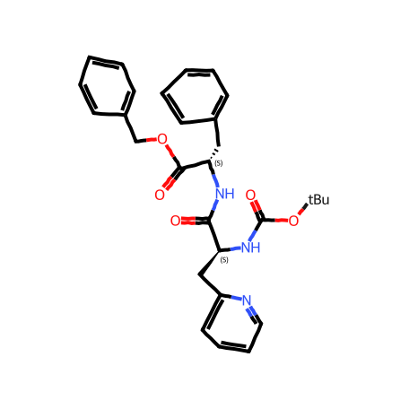 CC(C)(C)OC(=O)N[C@@H](Cc1ccccn1)C(=O)N[C@@H](Cc1ccccc1)C(=O)OCc1ccccc1